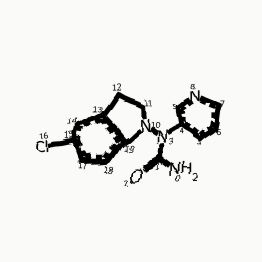 NC(=O)N(c1cccnc1)N1CCc2cc(Cl)ccc21